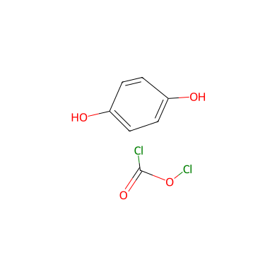 O=C(Cl)OCl.Oc1ccc(O)cc1